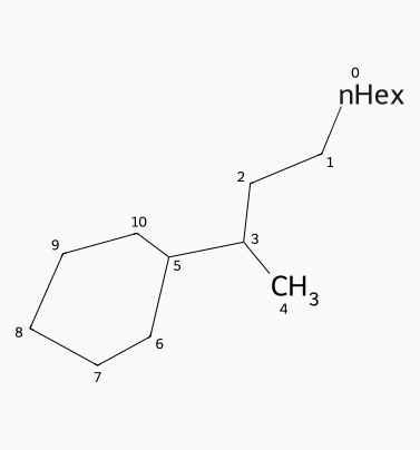 CCCCCCCCC(C)C1CCCCC1